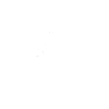 C1=C(c2cccc3c2sc2ccccc23)C=C(c2cc(-c3nc(-c4ccccc4)nc(-c4cccc5c4sc4ccccc45)n3)cc3ccccc23)C2c3ccccc3OC12